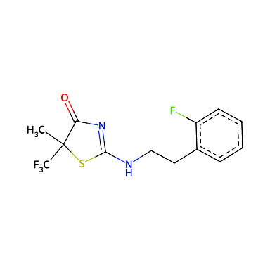 CC1(C(F)(F)F)SC(NCCc2ccccc2F)=NC1=O